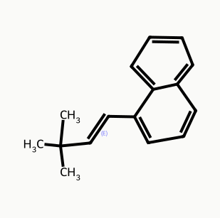 CC(C)(C)/C=C/c1cccc2ccccc12